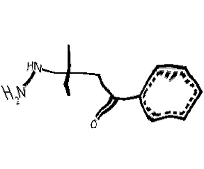 CC(C)(CC(=O)c1ccccc1)NN